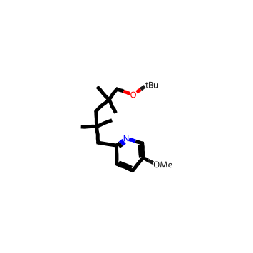 COc1ccc(CC(C)(C)CC(C)(C)COC(C)(C)C)nc1